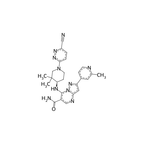 Cc1cc(-c2cc3ncc(C(N)=O)c(N[C@@H]4CCN(c5ccc(C#N)nn5)CC4(C)C)n3n2)ccn1